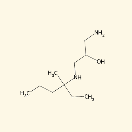 CCCC(C)(CC)NCC(O)CN